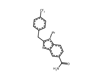 CC(C)n1c(Cc2ccc(C(F)(F)F)cc2)nc2cc(C(N)=O)ccc21